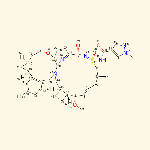 CO[C@H]1/C=C/C[C@H](C)C[S@@](=O)(NC(=O)c2cnn(C)c2)=NC(=O)c2ccc3c(n2)N(Cc2ccc(Cl)cc2[C@H]2C[C@H]2CCO3)C[C@@H]2CC[C@H]21